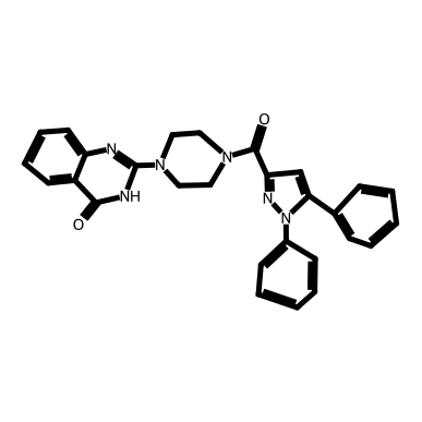 O=C(c1cc(-c2ccccc2)n(-c2ccccc2)n1)N1CCN(c2nc3ccccc3c(=O)[nH]2)CC1